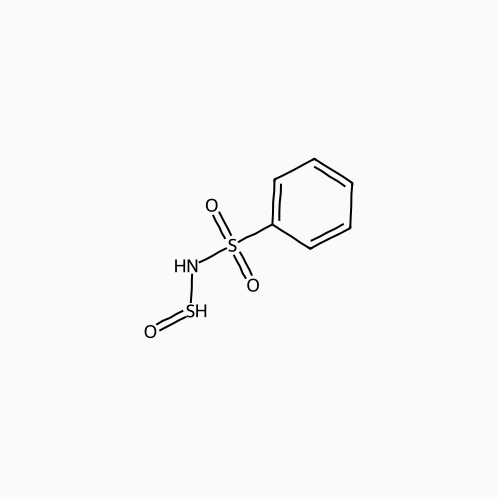 O=[SH]NS(=O)(=O)c1ccccc1